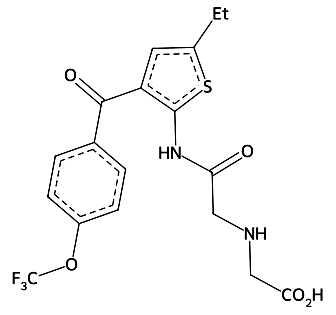 CCc1cc(C(=O)c2ccc(OC(F)(F)F)cc2)c(NC(=O)CNCC(=O)O)s1